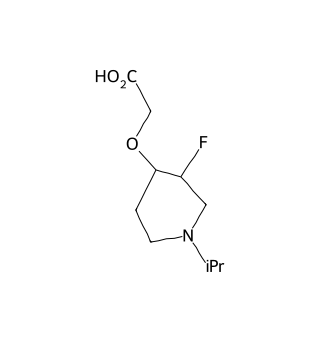 CC(C)N1CCC(OCC(=O)O)C(F)C1